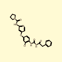 O=C(Cc1ccccc1)NC(=O)Nc1ccc(Oc2ccnc(NC(=O)N3CCCC3)c2)cc1Cl